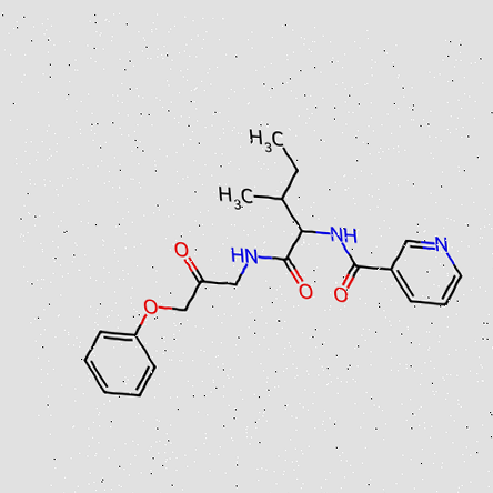 CCC(C)C(NC(=O)c1cccnc1)C(=O)NCC(=O)COc1ccccc1